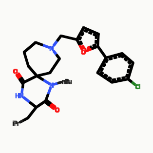 CCCCN1C(=O)C(CC(C)C)NC(=O)C12CCCN(Cc1ccc(-c3ccc(Cl)cc3)o1)CC2